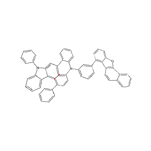 c1ccc(-c2ccc(N(c3cccc(-c4cccc5oc6c7ccccc7ccc6c45)c3)c3ccccc3-c3ccc4c5ccccc5n(-c5ccccc5)c4c3)cc2)cc1